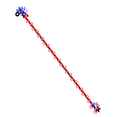 CCOCc1nc2c(N)nc3ccccc3c2n1CC(C)(C)OCCOCCOCCOCCOCCOCCOCCOCCOCCOCCOCCOCCOCCOCCOCCOCCOCCOCCOCCOCCOCCOCCOCCOCCNC(=O)C=CN1C(=O)C(C)=C(C)C1=O